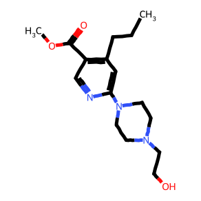 CCCc1cc(N2CCN(CCO)CC2)ncc1C(=O)OC